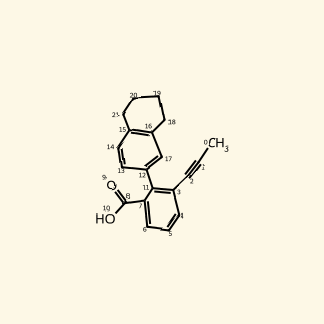 CC#Cc1cccc(C(=O)O)c1-c1ccc2c(c1)CCCC2